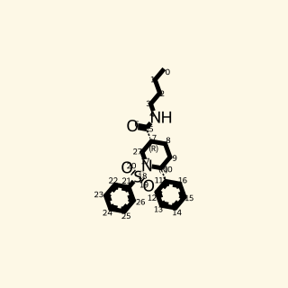 CCCCNC(=O)[C@@H]1CC[C@H](c2ccccc2)N(S(=O)(=O)c2ccccc2)C1